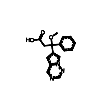 COC(CC(=O)O)(c1ccccc1)c1cc2cncnn2c1